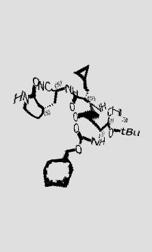 C[C@@H](OC(C)(C)C)[C@H](NC(=O)OCc1ccccc1)C(=O)N[C@@H](CC1CC1)C(=O)N[C@H](C#N)C[C@@H]1CCNC1=O